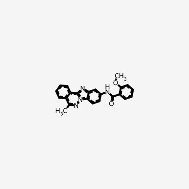 COc1ccccc1C(=O)Nc1ccc2c(c1)nc1c3ccccc3c(C)nn21